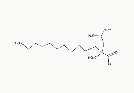 CCCCCCCCCC(C)CC(CCCCCCCCCCC(=O)O)(C(=O)O)C(=O)CC